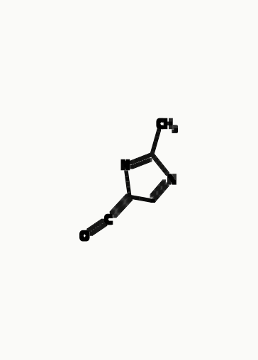 CC1=NC(=C=O)C=N1